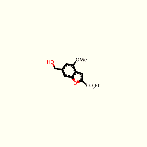 CCOC(=O)c1cc2c(OC)cc(CO)cc2o1